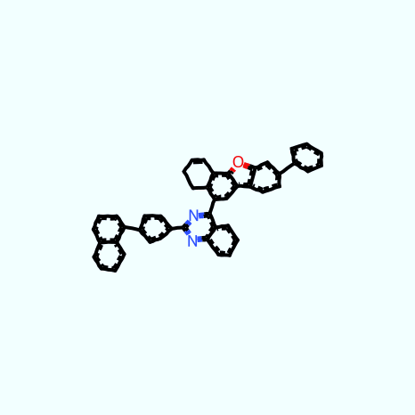 C1=Cc2c(c(-c3nc(-c4ccc(-c5cccc6ccccc56)cc4)nc4ccccc34)cc3c2oc2cc(-c4ccccc4)ccc23)CC1